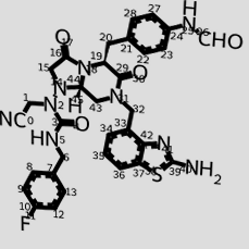 N#CCN(C(=O)NCc1ccc(F)cc1)N1CC(=O)N2[C@@H](Cc3ccc(NC=O)cc3)C(=O)N(Cc3cccc4sc(N)nc34)C[C@@H]21